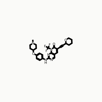 CN1CCC(Oc2ccc(Nc3ncc4cc(C#CC5CCCCO5)c(=O)n(C(F)(F)F)c4n3)cc2)CC1